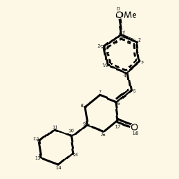 COc1ccc(C=C2CCC(C3CCCCC3)CC2=O)cc1